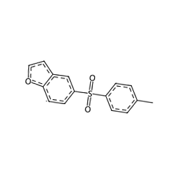 Cc1ccc(S(=O)(=O)c2c[c]c3occc3c2)cc1